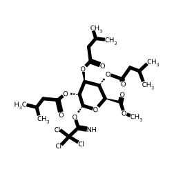 COC(=O)[C@H]1O[C@H](OC(=N)C(Cl)(Cl)Cl)[C@H](OC(=O)CC(C)C)[C@@H](OC(=O)CC(C)C)[C@@H]1OC(=O)CC(C)C